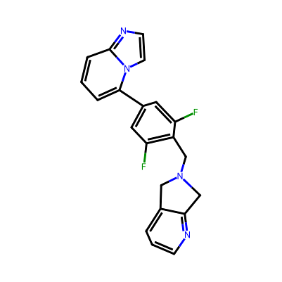 Fc1cc(-c2cccc3nccn23)cc(F)c1CN1Cc2cccnc2C1